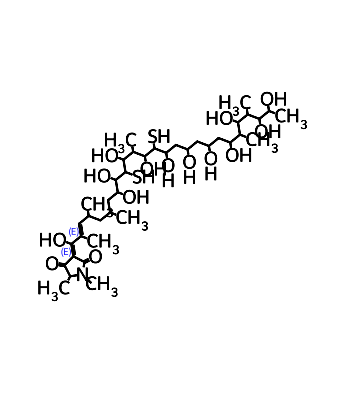 CC(=C\C(C)CC(C)CC(O)C(O)C(S)C(O)C(C)C(O)C(S)C(O)CC(O)CC(O)CC(O)C(C)C(O)C(C)C(O)C(C)O)/C(O)=C1/C(=O)C(C)N(C)C1=O